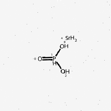 O=[PH](O)O.[SrH2]